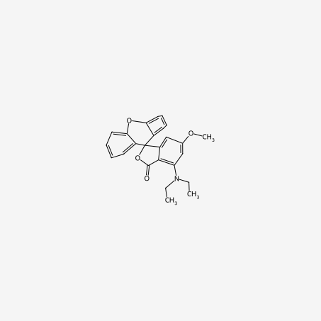 CCN(CC)c1cc(OC)cc2c1C(=O)OC21c2ccccc2Oc2ccccc21